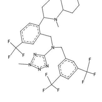 CCC(c1ccc(C(F)(F)F)cc1CN(Cc1cc(C(F)(F)F)cc(C(F)(F)F)c1)c1nnn(C)n1)N(C)C1CCOCC1